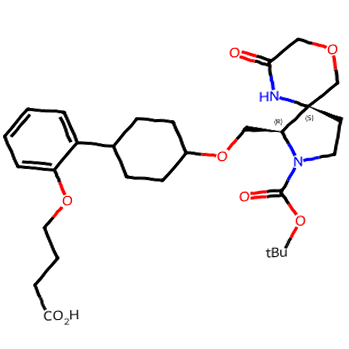 CC(C)(C)OC(=O)N1CC[C@@]2(COCC(=O)N2)[C@@H]1COC1CCC(c2ccccc2OCCCC(=O)O)CC1